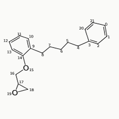 c1ccc(CCCCCc2ccccc2OCC2CO2)cc1